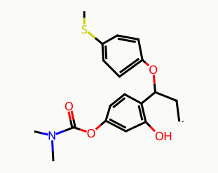 [CH2]CC(Oc1ccc(SC)cc1)c1ccc(OC(=O)N(C)C)cc1O